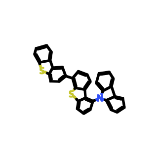 c1ccc2c(c1)sc1ccc(-c3cccc4c3sc3cccc(-n5c6ccccc6c6ccccc65)c34)cc12